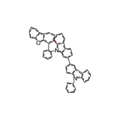 c1ccc(-n2c3ccccc3c3cc(-c4ccc5c6ccccc6n(-c6ccccc6-c6cccc7c6oc6ccccc67)c5c4)ccc32)cc1